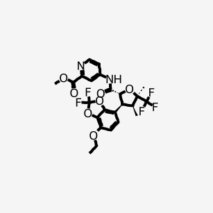 CCOc1ccc([C@H]2[C@H](C(=O)Nc3ccnc(C(=O)OC)c3)O[C@@](C)(C(F)(F)F)[C@H]2C)c2c1OC(F)(F)O2